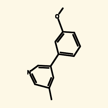 COc1cccc(-c2cncc(C)c2)c1